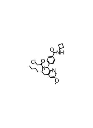 CCCC[C@H]1Cc2cc(OC)cnc2[C@H](c2ccc(C(=O)NC3CCC3)cc2)N1C(=O)CCl